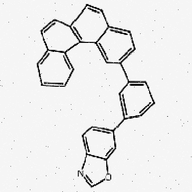 c1cc(-c2ccc3ncoc3c2)cc(-c2ccc3ccc4ccc5ccccc5c4c3c2)c1